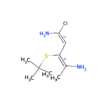 C/C(N)=C(/C=C(\N)Cl)SC(C)(C)C